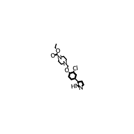 CCOC(=O)N1CCN(COc2ccc(-c3ccn[nH]3)cc2Cl)CC1